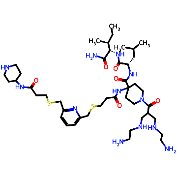 CC[C@H](C)[C@H](NC(=O)[C@H](CC(C)C)NC(=O)C1(NC(=O)CCSCc2cccc(CSCCC(=O)NC3CCNCC3)n2)CCN(C(=O)C(CNCCN)CNCCN)CC1)C(N)=O